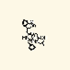 CC(C)C[C@H](NC(=O)[C@H](Cc1ccccc1)NC(=O)CC1CS(=O)(=O)c2ccccc21)C(=O)O